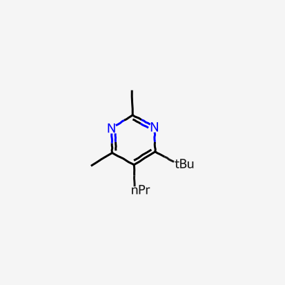 CCCc1c(C)nc(C)nc1C(C)(C)C